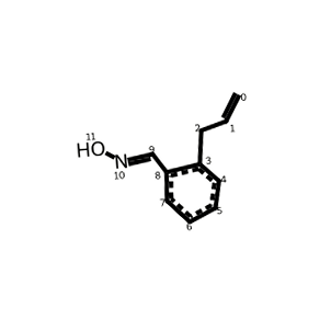 C=CCc1ccccc1C=NO